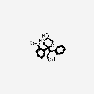 CCOc1ccccc1C1(C(CO)c2ccccc2)CNCCO1.Cl